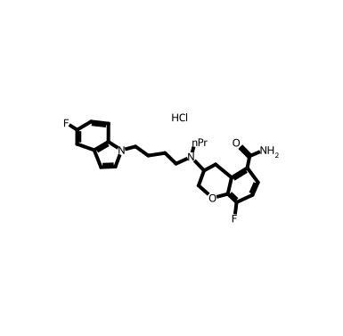 CCCN(CCCCn1ccc2cc(F)ccc21)C1COc2c(F)ccc(C(N)=O)c2C1.Cl